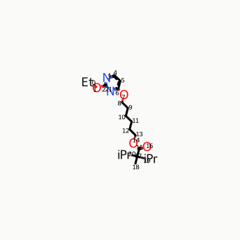 CCOc1nccc(OCCCCCCOC(=O)C(C)(C(C)C)C(C)C)n1